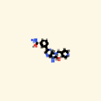 NC(=O)c1cccc(-c2cnc3[nH]c(=O)n(Cc4ccncc4)c3n2)c1